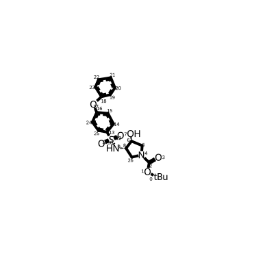 CC(C)(C)OC(=O)N1C[C@@H](O)[C@@H](NS(=O)(=O)c2ccc(Oc3ccccc3)cc2)C1